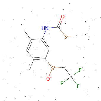 CSC(=O)Nc1cc([S+]([O-])CC(F)(F)F)c(C)cc1C